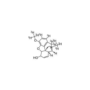 [2H]c1c([2H])c2c3c(c1OC([2H])([2H])[2H])OC1C(O)C=C[C@@]4([2H])[C@H](N(C([2H])([2H])[2H])CC[C@]314)C2([2H])[2H]